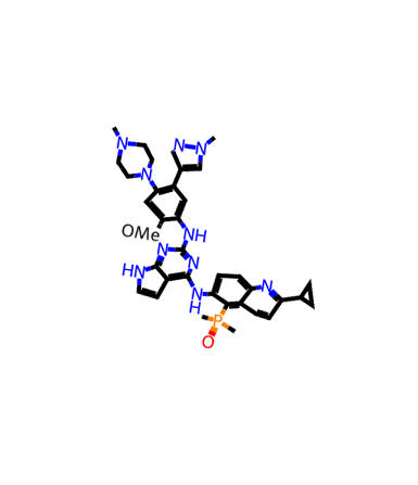 COc1cc(N2CCN(C)CC2)c(-c2cnn(C)c2)cc1Nc1nc(Nc2ccc3nc(C4CC4)ccc3c2P(C)(C)=O)c2cc[nH]c2n1